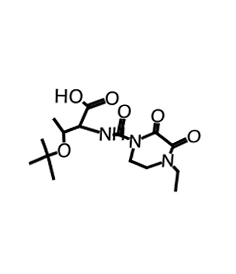 CCN1CCN(C(=O)NC(C(=O)O)C(C)OC(C)(C)C)C(=O)C1=O